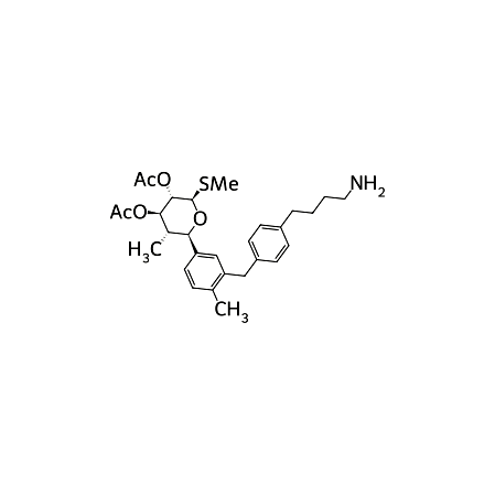 CS[C@H]1O[C@@H](c2ccc(C)c(Cc3ccc(CCCCN)cc3)c2)[C@H](C)[C@@H](OC(C)=O)[C@@H]1OC(C)=O